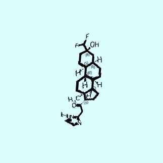 C[C@]12CC[C@H]3[C@@H](CC[C@@H]4C[C@@](O)(C(F)F)CC[C@@H]43)[C@@H]1CC[C@@H]2C(=O)Cc1ncc[nH]1